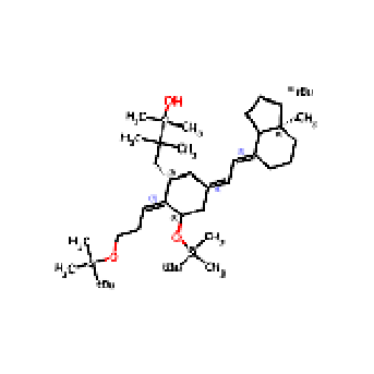 CC[C@H](C)C1CCC2/C(=C/C=C3\C[C@@H](CC(C)(C)[Si](C)(C)O)/C(=C/CCO[Si](C)(C)C(C)(C)C)[C@H](O[Si](C)(C)C(C)(C)C)C3)CCC[C@@]21C